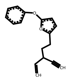 [CH]=CC(C#C)CCc1ccc(Oc2ccccc2)o1